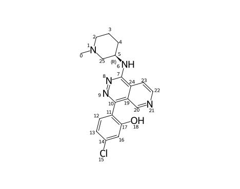 CN1CCC[C@@H](Nc2nnc(-c3ccc(Cl)cc3O)c3cnccc23)C1